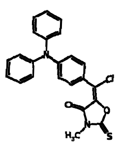 CN1C(=O)/C(=C(/Cl)c2ccc(N(c3ccccc3)c3ccccc3)cc2)OC1=S